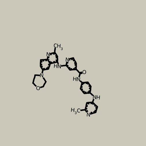 Cc1cc(Nc2ccc(NC(=O)c3ccnc(Nc4cc(C)nc5ccc(N6CCOCC6)cc45)c3)cc2)ccn1